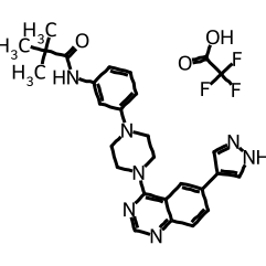 CC(C)(C)C(=O)Nc1cccc(N2CCN(c3ncnc4ccc(-c5cn[nH]c5)cc34)CC2)c1.O=C(O)C(F)(F)F